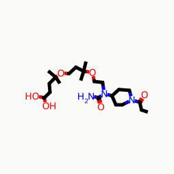 CCC(=O)N1CCC(N(CCOC(C)(C)CCOC(C)(C)CCC(O)O)C(N)=O)CC1